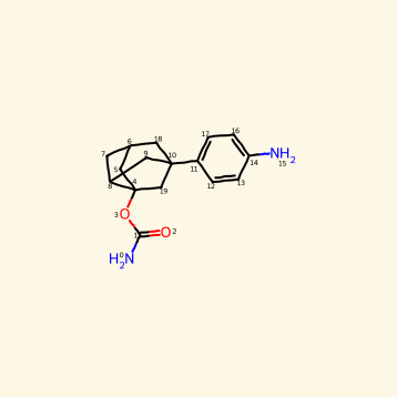 NC(=O)OC12CC3CC1CC(c1ccc(N)cc1)(C3)C2